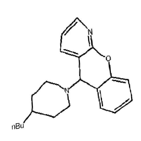 CCCCC1CCN(C2c3ccccc3Oc3ncccc32)CC1